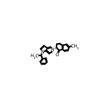 Cc1ccc2c(c1)CCC([n+]1ccc3c(ccn3C(C)c3ccccc3)c1)C2=O